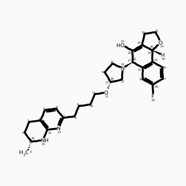 C[C@@H]1CCc2ccc(CCCCO[C@@H]3CCN([C@H]4C(O)=C5CCO[C@@H]5c5ccc(F)cc54)C3)nc2N1